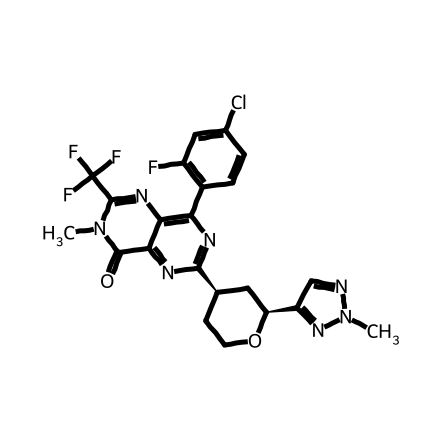 Cn1ncc([C@@H]2C[C@H](c3nc(-c4ccc(Cl)cc4F)c4nc(C(F)(F)F)n(C)c(=O)c4n3)CCO2)n1